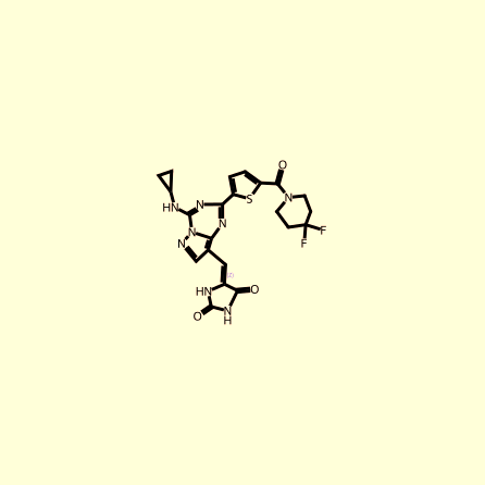 O=C1NC(=O)/C(=C/c2cnn3c(NC4CC4)nc(-c4ccc(C(=O)N5CCC(F)(F)CC5)s4)nc23)N1